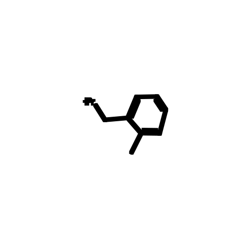 C[C](C)Cc1ccccc1C